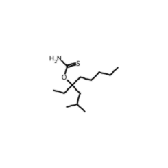 CCCCCC(CC)(CC(C)C)OC(N)=S